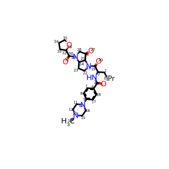 CC(C)CC(NC(=O)c1ccc(N2CCN(C)CC2)cc1)C(=O)N1CCC2C1C(=O)CN2C(=O)C1CCCO1